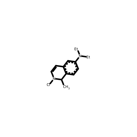 CCN(CC)c1ccc2c(c1)C=CN(Cl)C2C